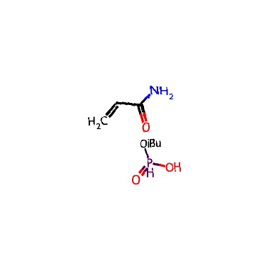 C=CC(N)=O.CC(C)CO[PH](=O)O